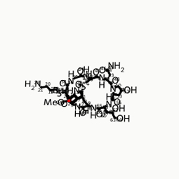 CC[C@H](C)[C@@H]1CC(=O)CNC(=O)[C@@H]2Cc3c([nH]c4c(CSCCCCN)c(OC)ccc34)[S+]([O-])C[C@H](NC(=O)CNC1=O)C(=O)N[C@@H](CC(N)=O)C(=O)N1C[C@H](O)CC1C(=O)NC([C@@H](C)[C@@H](O)CO)C(=O)N2